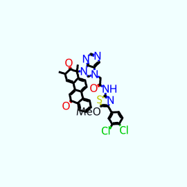 COc1sc(NC(=O)CN2CN(C3(C)C(=O)C(C)C=c4c3ccc3c4=CC(=O)c4ccccc4-3)c3ncncc32)nc1-c1ccc(Cl)c(Cl)c1